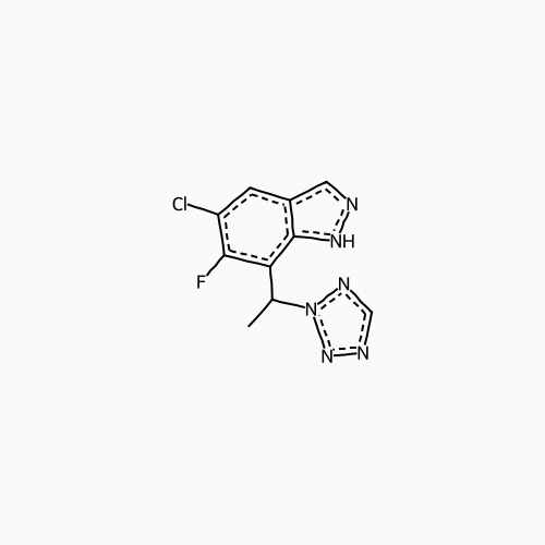 CC(c1c(F)c(Cl)cc2cn[nH]c12)n1ncnn1